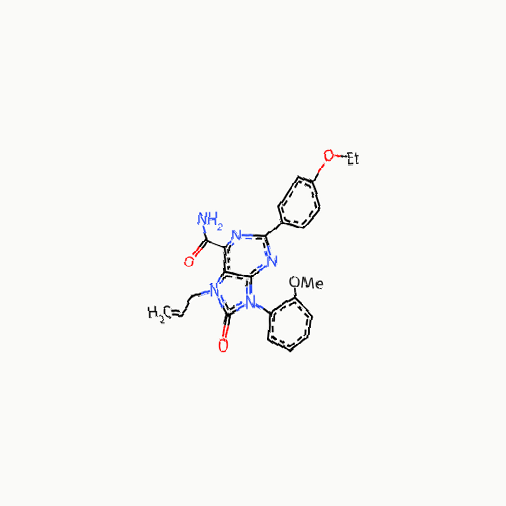 C=CCn1c(=O)n(-c2ccccc2OC)c2nc(-c3ccc(OCC)cc3)nc(C(N)=O)c21